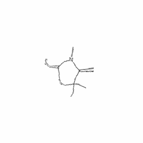 C=C1N(C)C(=S)SC1(C)C